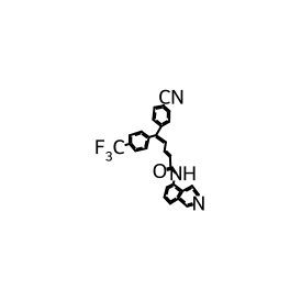 N#Cc1ccc(C(=CC=CC(=O)Nc2cccc3cnccc23)c2ccc(C(F)(F)F)cc2)cc1